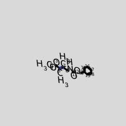 COC(=O)/C(C)=C(\C)CNC(=O)OCc1ccccc1